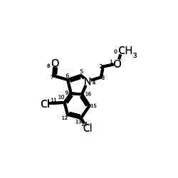 COCCn1cc(C=O)c2c(Cl)cc(Cl)cc21